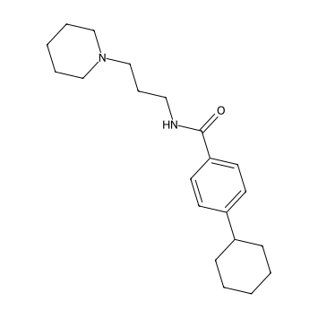 O=C(NCCCN1CCCCC1)c1ccc(C2CCCCC2)cc1